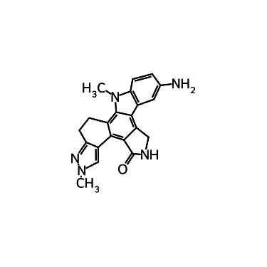 Cn1cc2c(n1)CCc1c-2c2c(c3c4cc(N)ccc4n(C)c13)CNC2=O